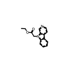 CCOC(=O)Cn1c2ccccc2c2ccncc21